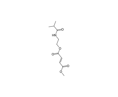 COC(=O)C=CC(=O)OCCNC(=O)C(C)C